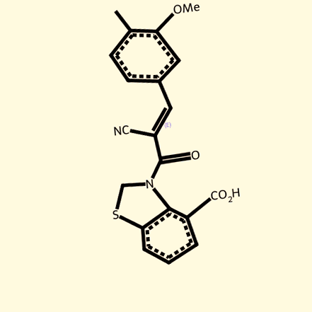 COc1cc(/C=C(\C#N)C(=O)N2CSc3cccc(C(=O)O)c32)ccc1C